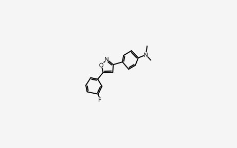 CN(C)c1ccc(-c2cc(-c3cccc(F)c3)on2)cc1